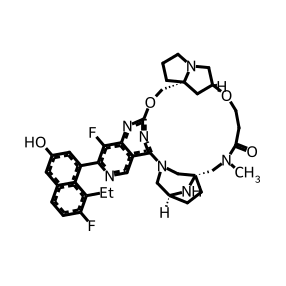 CCc1c(F)ccc2cc(O)cc(-c3ncc4c5nc(nc4c3F)OC[C@]34CCCN3C[C@@H](C4)OCCC(=O)N(C)C[C@@]34CC[C@@H](CN5C3)N4)c12